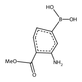 COC(=O)c1ccc(B(O)O)cc1N